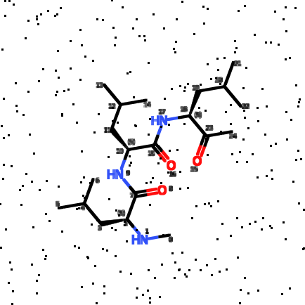 CN[C@@H](CC(C)C)C(=O)N[C@@H](CC(C)C)C(=O)N[C@@H](CC(C)C)C(C)=O